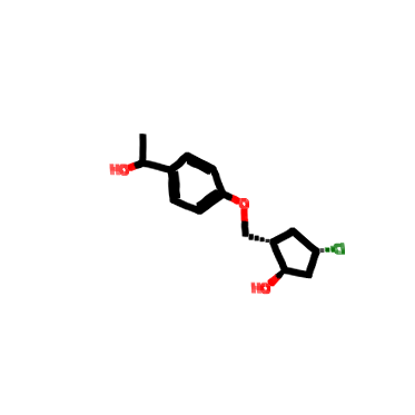 CC(O)c1ccc(OC[C@@H]2C[C@H](Cl)C[C@H]2O)cc1